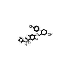 O=S(=O)(Nc1ncns1)c1cc(F)c(OCC2C[C@@H](O)CC[C@H]2c2ccc(Cl)cc2)cc1F